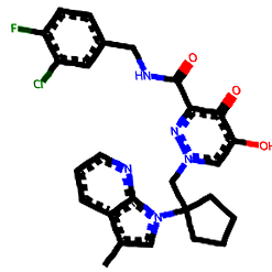 Cc1cn(C2(Cn3cc(O)c(=O)c(C(=O)NCc4ccc(F)c(Cl)c4)n3)CCCC2)c2ncccc12